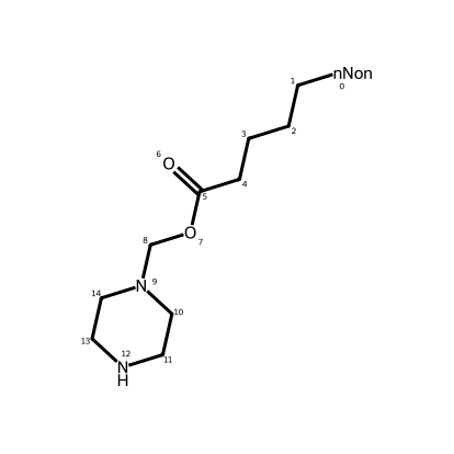 CCCCCCCCCCCCCC(=O)OCN1CCNCC1